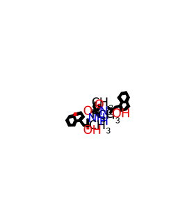 CCC(CC)(C(=O)NCC(C)(O)Cc1cccc2ccccc12)C(=O)NCC(C)(O)Cc1cccc2ccccc12